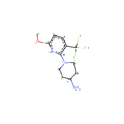 COc1ccc(C(F)(F)F)c(N2CCC(N)CC2)n1